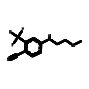 COCCNc1ccc(C#N)c(C(F)(F)F)c1